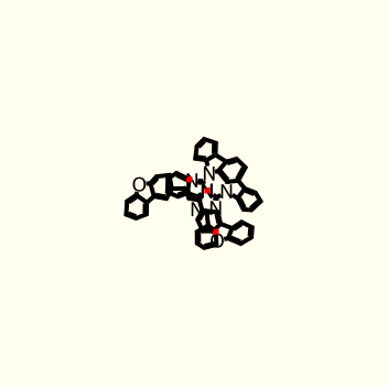 c1ccc(-c2nc(-c3ccccc3)nc(-n3c4ccccc4c4ccc5c6ccccc6n(-c6nc(-c7ccc8oc9ccccc9c8c7)cc(-c7ccc8oc9ccccc9c8c7)n6)c5c43)n2)cc1